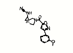 COc1cccc(-c2cc(C(=O)N3CC[C@@]4(CC4NC#N)C3)on2)c1